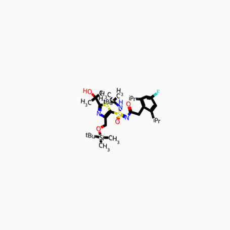 CC(C)c1cc(F)cc(C(C)C)c1CC(=O)N=S(=O)(N[Si](C)(C)C(C)(C)C)c1sc(C(C)(C)O)nc1CO[Si](C)(C)C(C)(C)C